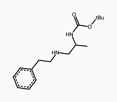 CC(CNCCc1ccccc1)NC(=O)OC(C)(C)C